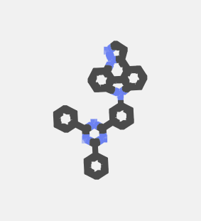 c1ccc(-c2nc(-c3ccccc3)nc(-c3cccc(-n4c5cccc6c5c5c4cccc5n4nccc64)c3)n2)cc1